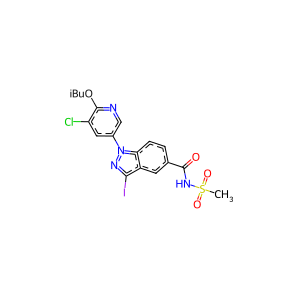 CC(C)COc1ncc(-n2nc(I)c3cc(C(=O)NS(C)(=O)=O)ccc32)cc1Cl